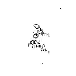 CNC[C@H](CC1CCOCC1)NC(=O)N1CCCC(C(OCCNC(=O)OC)c2ccc(F)c(Cl)c2F)C1